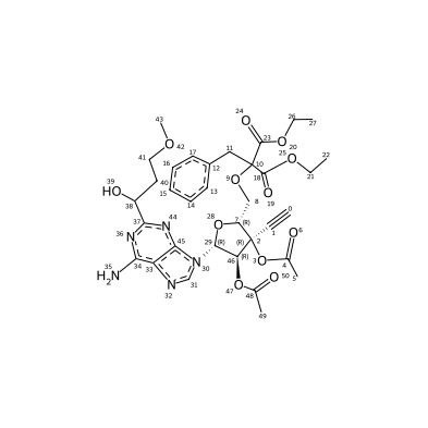 C#C[C@@]1(OC(C)=O)[C@@H](COC(Cc2ccccc2)(C(=O)OCC)C(=O)OCC)O[C@@H](n2cnc3c(N)nc(C(O)CCOC)nc32)[C@@H]1OC(C)=O